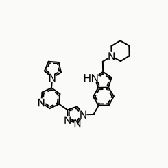 c1ccn(-c2cncc(-c3cn(Cc4ccc5cc(CN6CCCCC6)[nH]c5c4)nn3)c2)c1